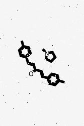 CN1CCCC1.Cc1ccc(C=CC(=O)C=Cc2ccc(C)cc2)cc1